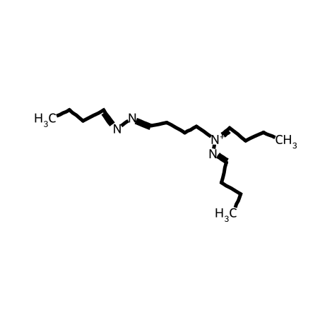 CCCC=NN=CCCC[N+](=CCCC)N=CCCC